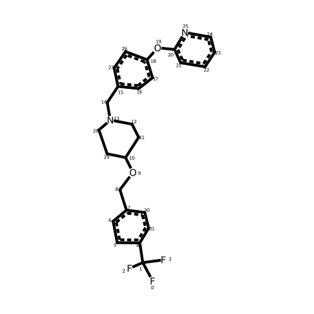 FC(F)(F)c1ccc(COC2CCN(Cc3ccc(Oc4ccccn4)cc3)CC2)cc1